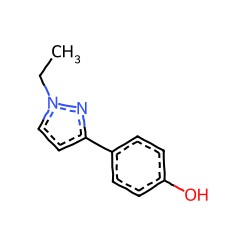 CCn1ccc(-c2ccc(O)cc2)n1